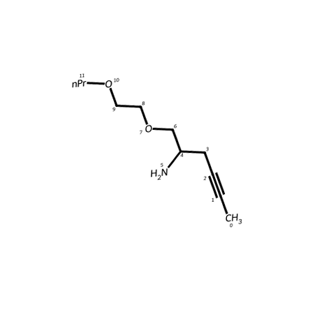 CC#CCC(N)COCCOCCC